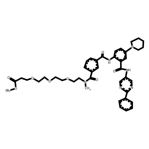 CN(CCOCCOCCOCCC(=O)OC(C)(C)C)C(=O)c1cccc(C(=O)Nc2ccc(N3CCCCC3)cc2C(=O)Nc2cnc(-c3ccccc3)nc2)c1